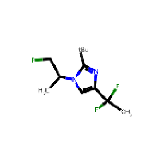 CC(CF)n1cc(C(C)(F)F)nc1C(C)(C)C